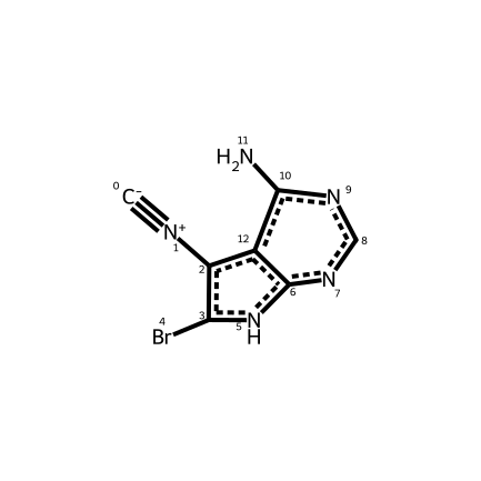 [C-]#[N+]c1c(Br)[nH]c2ncnc(N)c12